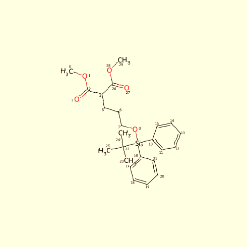 COC(=O)C(CCCO[Si](c1ccccc1)(c1ccccc1)C(C)(C)C)C(=O)OC